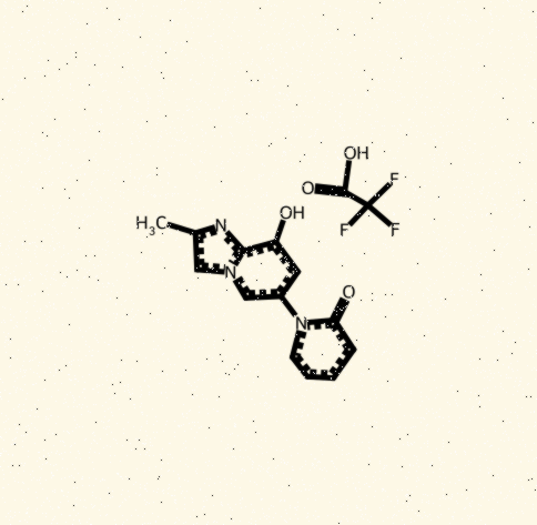 Cc1cn2cc(-n3ccccc3=O)cc(O)c2n1.O=C(O)C(F)(F)F